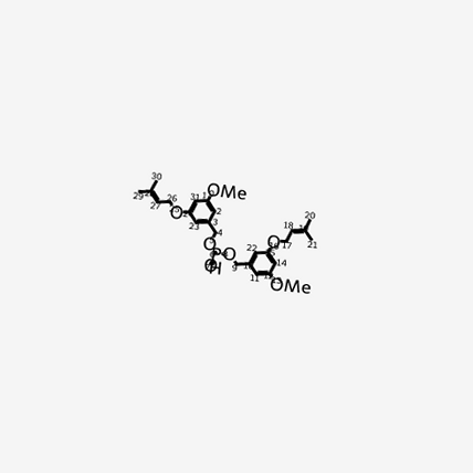 COc1cc(CO[PH](=O)OCc2cc(OC)cc(OCC=C(C)C)c2)cc(OCC=C(C)C)c1